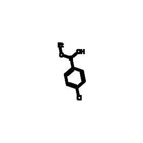 CCOB(O)c1ccc(Cl)cc1